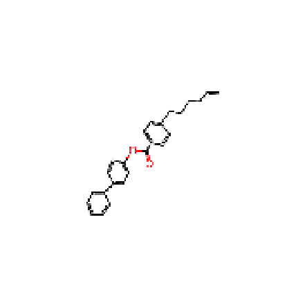 C=CCCCCc1ccc(C(=O)Oc2ccc(-c3ccccc3)cc2)cc1